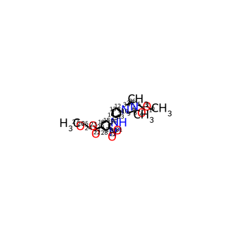 CCOC(=O)CN1C(C)CN(c2cccc(Nc3ccc(C(=O)OCCOC)cc3[N+](=O)[O-])c2)CC1C